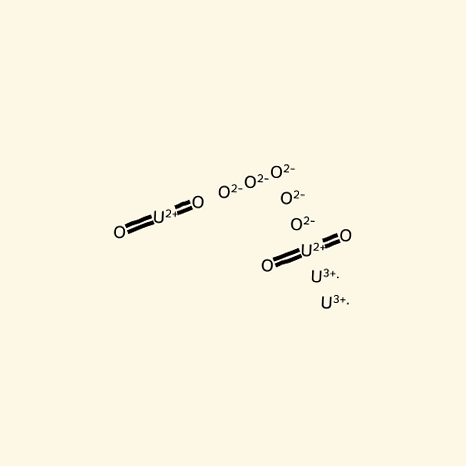 [O-2].[O-2].[O-2].[O-2].[O-2].[O]=[U+2]=[O].[O]=[U+2]=[O].[U+3].[U+3]